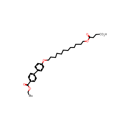 CCC(C)COC(=O)c1ccc(-c2ccc(OCCCCCCCCCCCCOC(=O)CCC(=O)O)cc2)cc1